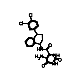 Nc1c(C(=O)N[C@@H]2CCC(c3ccc(Cl)c(Cl)c3)c3ccccc32)[nH]c(=O)[nH]c1=O